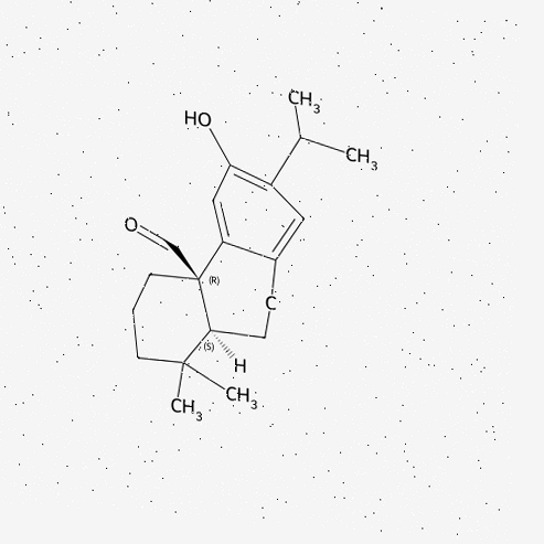 CC(C)c1cc2c(cc1O)[C@@]1(C=O)CCCC(C)(C)[C@@H]1CC2